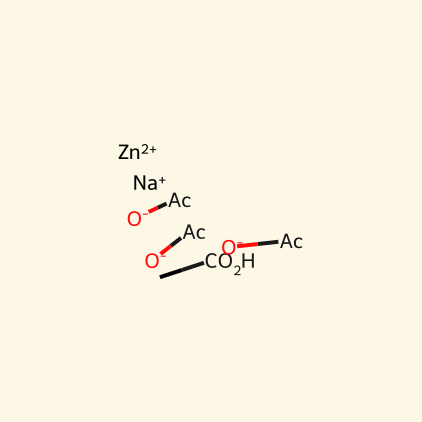 CC(=O)O.CC(=O)[O-].CC(=O)[O-].CC(=O)[O-].[Na+].[Zn+2]